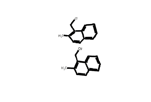 Cc1ccc2ccccc2c1CC#N.Cc1ccc2ccccc2c1CCl